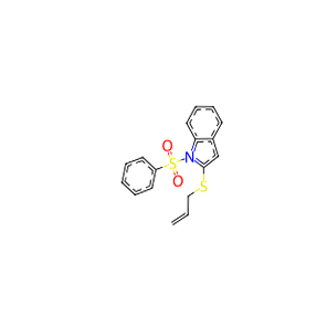 C=CCSc1cc2ccccc2n1S(=O)(=O)c1ccccc1